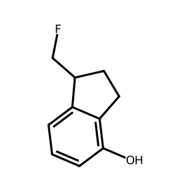 Oc1cccc2c1CCC2CF